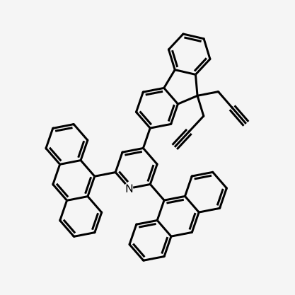 C#CCC1(CC#C)c2ccccc2-c2ccc(-c3cc(-c4c5ccccc5cc5ccccc45)nc(-c4c5ccccc5cc5ccccc45)c3)cc21